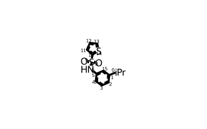 CC(C)c1cc[c]c(NS(=O)(=O)c2cccs2)c1